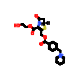 O=C(OCCO)C1=C(COC(=O)c2ccc(C[n+]3ccccc3)cc2)S[C@@H]2CC(=O)N12